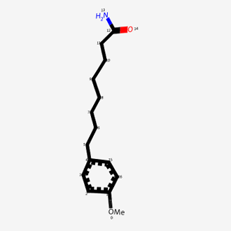 COc1ccc(CCCCCCCC(N)=O)cc1